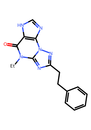 CCn1c(=O)c2[nH]cnc2n2nc(CCc3ccccc3)nc12